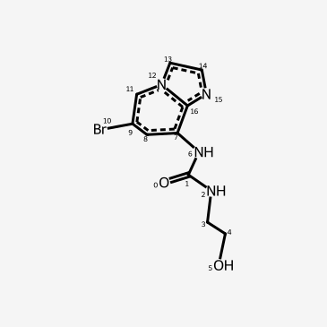 O=C(NCCO)Nc1cc(Br)cn2ccnc12